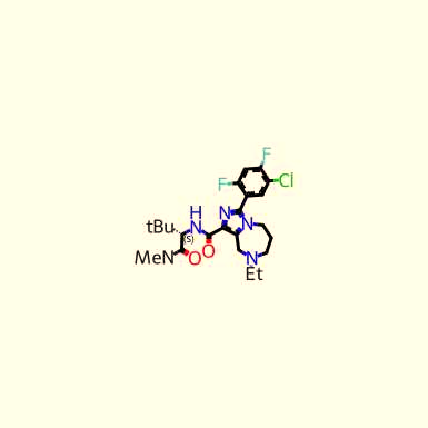 CCN1CCCn2c(-c3cc(Cl)c(F)cc3F)nc(C(=O)N[C@H](C(=O)NC)C(C)(C)C)c2C1